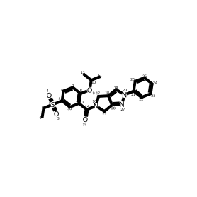 CCS(=O)(=O)c1ccc(OC(C)C)c(C(=O)N2Cc3cn(-c4ccccc4)nc3C2)c1